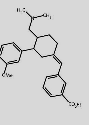 CCOC(=O)c1cccc(/C=C2/CCC(CN(C)C)C(c3cccc(OC)c3)C2)c1